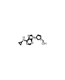 OC[C@@H]1C=C[C@H](n2cnc3c(NC4CC4)ncnc32)C1